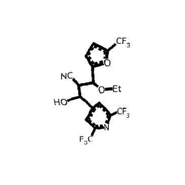 CCOC(c1ccc(C(F)(F)F)o1)C(C#N)C(O)c1cc(C(F)(F)F)nc(C(F)(F)F)c1